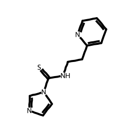 S=C(NCCc1ccccn1)n1ccnc1